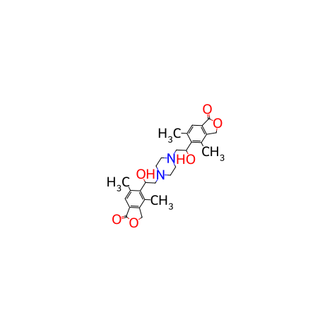 Cc1cc2c(c(C)c1C(O)CN1CCN(CC(O)c3c(C)cc4c(c3C)COC4=O)CC1)COC2=O